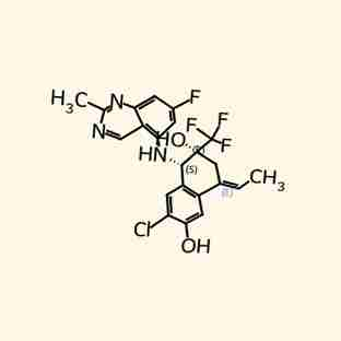 C/C=C1\C[C@](O)(C(F)(F)F)[C@@H](Nc2cc(F)cc3nc(C)ncc23)c2cc(Cl)c(O)cc21